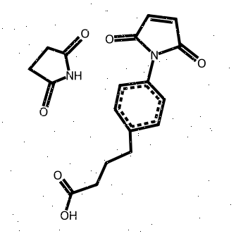 O=C(O)CCCc1ccc(N2C(=O)C=CC2=O)cc1.O=C1CCC(=O)N1